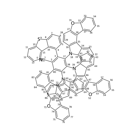 N#Cc1c(-c2cccc3sc4ccccc4c23)c(-n2c3ccccc3c3c4c(ccc32)oc2ccccc24)c(-n2c3ccccc3c3c4c(ccc32)oc2ccccc24)c(-n2c3ccccc3c3c4c(ccc32)oc2ccccc24)c1-c1cccc2sc3ccccc3c12